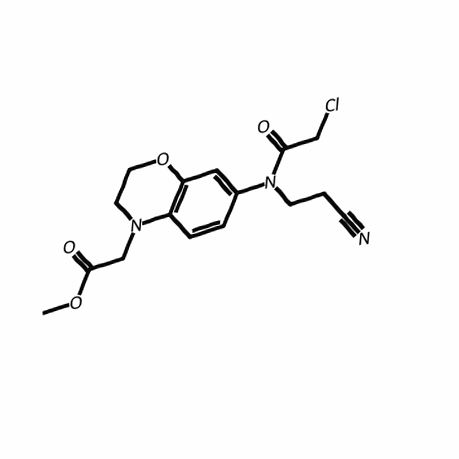 COC(=O)CN1CCOc2cc(N(CCC#N)C(=O)CCl)ccc21